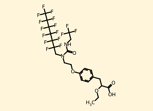 CCOC(Cc1ccc(OCCN(CC(F)(F)C(F)(F)C(F)(F)C(F)(F)C(F)(F)C(F)(F)F)C(=O)NCC(F)(F)F)cc1)C(=O)O